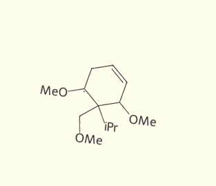 COCC1(C(C)C)[C](OC)CC=CC1OC